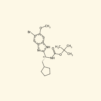 COc1cc2[nH]c([C@@H](CC3CCCC3)NC(=O)OC(C)(C)C)nc2cc1Br